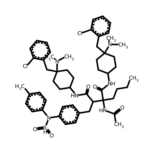 CCCCC(NC(C)=O)(C(=O)NC1CCC(Cc2ccccc2Cl)(N(C)C)CC1)C(Cc1ccc(N(c2ccc(C)cc2)[SH](=O)=O)cc1)C(=O)NC1CCC(Cc2ccccc2Cl)(N(C)C)CC1